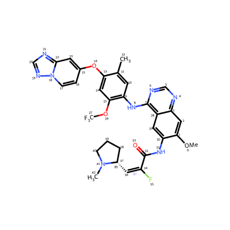 COc1cc2ncnc(Nc3cc(C)c(Oc4ccn5ncnc5c4)cc3OC(F)(F)F)c2cc1NC(=O)/C(F)=C\[C@H]1CCCN1C